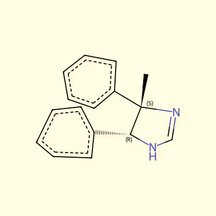 C[C@@]1(c2ccccc2)N=CN[C@@H]1c1ccccc1